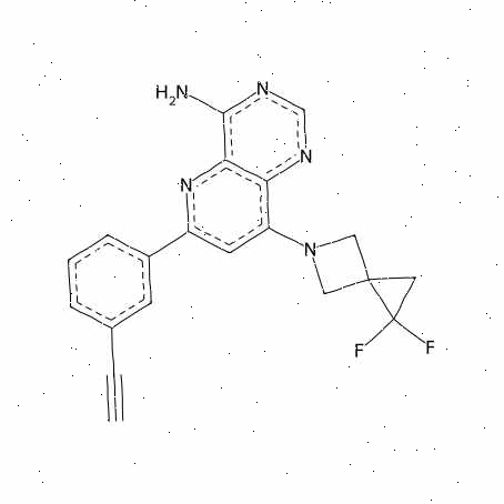 C#Cc1cccc(-c2cc(N3CC4(C3)CC4(F)F)c3ncnc(N)c3n2)c1